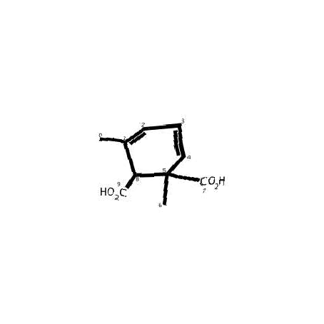 CC1=CC=CC(C)(C(=O)O)C1C(=O)O